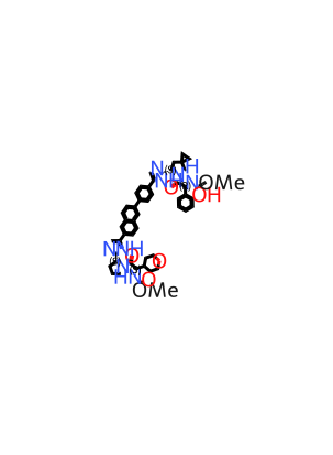 COC(=O)N[C@H](C(=O)N1CCC[C@H]1c1ncc(-c2ccc3cc(-c4ccc(-c5cnc([C@@H]6CC7(CC7)CN6C(=O)[C@H](NC(O)OC)c6ccccc6)[nH]5)cc4)ccc3c2)[nH]1)C1CCOCC1